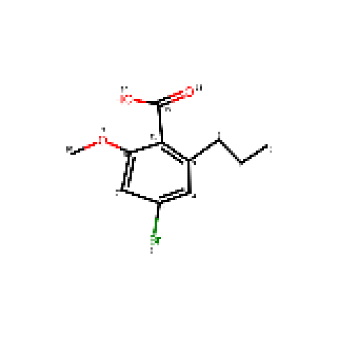 CCCc1cc(Br)cc(OC)c1C(=O)O